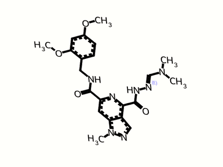 COc1ccc(CNC(=O)c2cc3c(cnn3C)c(C(=O)N/N=C/N(C)C)n2)c(OC)c1